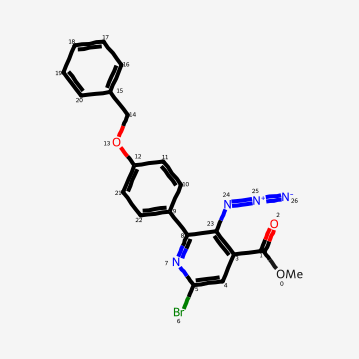 COC(=O)c1cc(Br)nc(-c2ccc(OCc3ccccc3)cc2)c1N=[N+]=[N-]